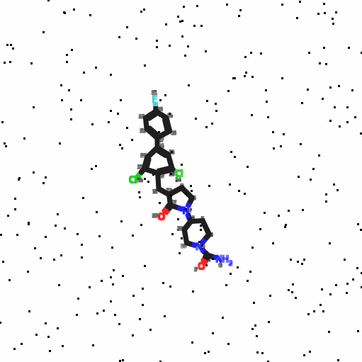 NC(=O)N1CCC(N2CCC(Cc3c(Cl)cc(-c4ccc(F)cc4)cc3Cl)C2=O)CC1